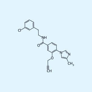 C#CCOc1cc(C(=O)NCCc2cccc(Cl)c2)ccc1-n1cnc(C)c1